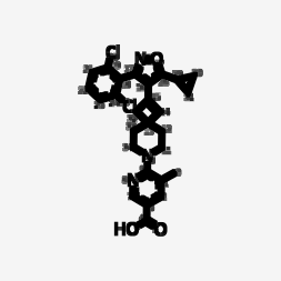 Cc1cc(C(=O)O)cnc1N1CCC2(C=C(c3c(-c4c(Cl)cccc4Cl)noc3C3CC3)C2)CC1